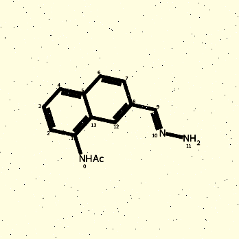 CC(=O)Nc1cccc2ccc(C=NN)cc12